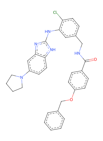 O=C(NCc1ccc(Cl)c(Nc2nc3cc(N4CCCC4)ccc3[nH]2)c1)c1ccc(OCc2ccccc2)cc1